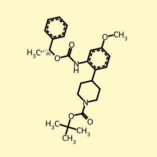 COc1ccc(C2CCN(C(=O)OC(C)(C)C)CC2)c(NC(=O)O[C@H](C)c2ccccc2)c1